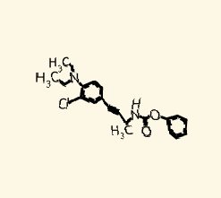 CCN(CC)c1ccc(C#CC(C)NC(=O)Oc2ccccc2)cc1Cl